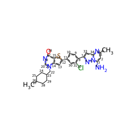 Cc1cc(N)n2nc(-c3ccc(-c4cc5c(s4)c(=O)ncn5CC4CCC(C)CC4)cc3Cl)cc2n1